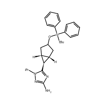 CC(C)n1nc(N)nc1[C@H]1[C@@H]2CC(O[Si](c3ccccc3)(c3ccccc3)C(C)(C)C)C[C@@H]21